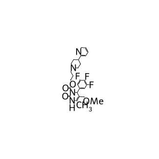 COCC1=C(C)NC(=O)N(C(=O)OCCCN2CCC(c3ccccn3)CC2)C1c1cc(F)c(F)c(F)c1